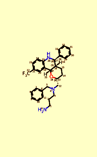 NCCCN(Cc1ccccc1)C[C@H]1CC[C@@H]2[C@H](O1)c1cc(C(F)(F)F)ccc1N[C@H]2c1ccccc1